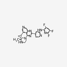 C[C@H]1CN(c2nc(-c3ccnc(Nc4nc(F)c(F)cc4F)c3)nc3cncc(C4CC4)c23)CCN1